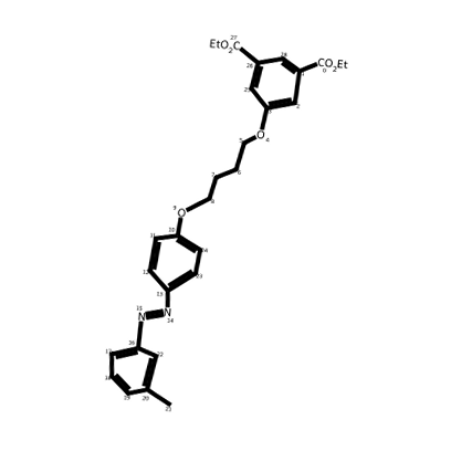 CCOC(=O)c1cc(OCCCCOc2ccc(N=Nc3cccc(C)c3)cc2)cc(C(=O)OCC)c1